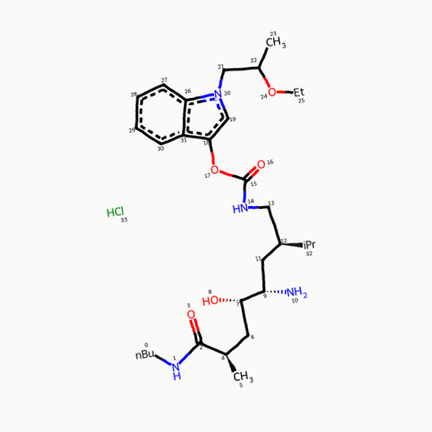 CCCCNC(=O)[C@H](C)C[C@H](O)[C@@H](N)C[C@@H](CNC(=O)Oc1cn(CC(C)OCC)c2ccccc12)C(C)C.Cl